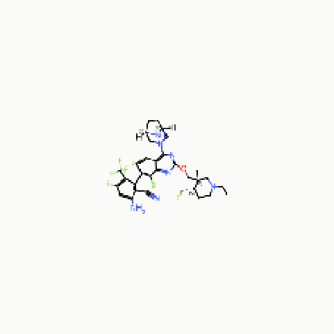 CCN1CC[C@H](CF)[C@](C)(COc2nc(N3C[C@H]4CC[C@@H](C3)N4)c3cc(F)c(-c4c(C#N)c(N)cc(F)c4C(F)(F)F)c(F)c3n2)C1